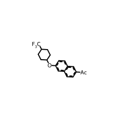 CC(=O)c1ccc2cc(OC3CCC(C(F)(F)F)CC3)ccc2c1